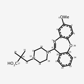 COc1ccc2c(c1)N=C(N1CCN(CC(C)(C)C(=O)O)CC1)c1ccccc1O2